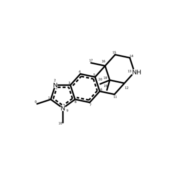 Cc1nc2cc3c(cc2n1C)CC1NCCC3(C)C1(C)C